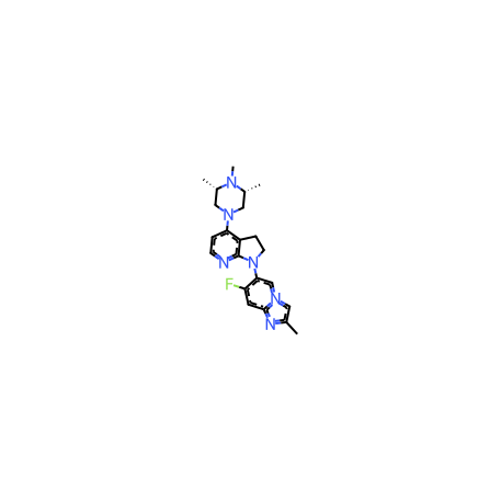 Cc1cn2cc(N3CCc4c(N5C[C@@H](C)N(C)[C@@H](C)C5)ccnc43)c(F)cc2n1